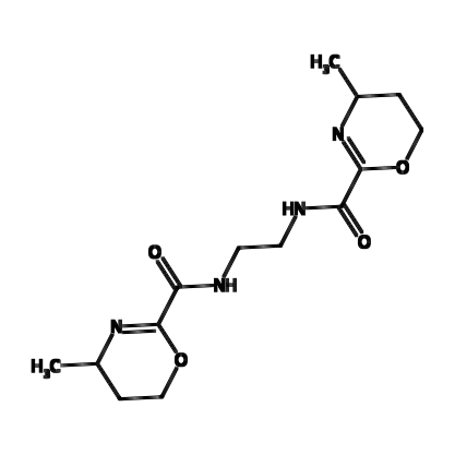 CC1CCOC(C(=O)NCCNC(=O)C2=NC(C)CCO2)=N1